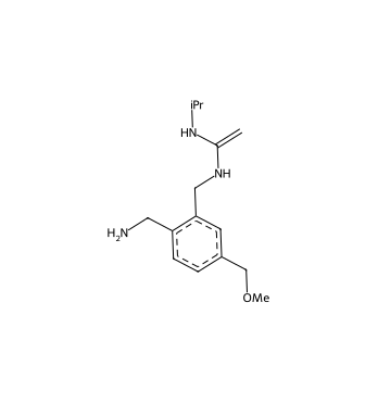 C=C(NCc1cc(COC)ccc1CN)NC(C)C